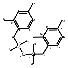 Cc1ccc(C[Si](C)(C)O[Si](C)(C)Cc2ccc(C)cc2C)c(C)c1